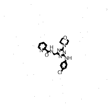 O=C(NCc1nc(Nc2ccc(Cl)cc2)nc(N2CCOCC2)n1)c1ccccn1